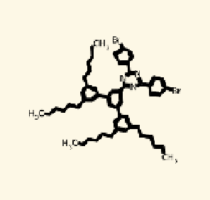 CCCCCCc1cc(CCCCCC)cc(-c2cc(-c3cc(CCCCCC)cc(CCCCCC)c3)cc(-c3nc(-c4ccc(Br)cc4)nc(-c4ccc(Br)cc4)n3)c2)c1